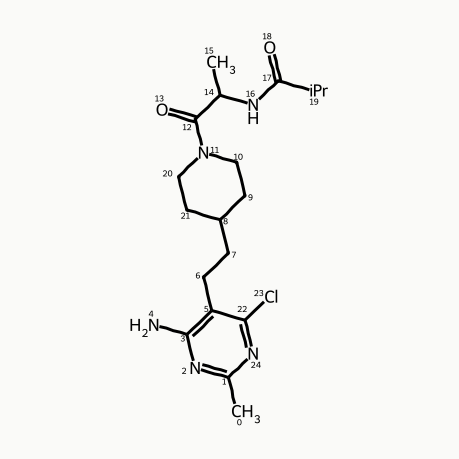 Cc1nc(N)c(CCC2CCN(C(=O)C(C)NC(=O)C(C)C)CC2)c(Cl)n1